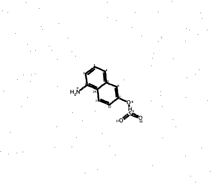 Nc1cccc2cc(O[SH](=O)=O)ccc12